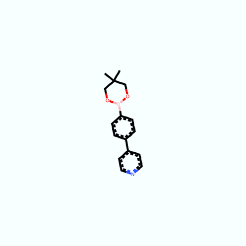 CC1(C)COB(c2ccc(-c3ccncc3)cc2)OC1